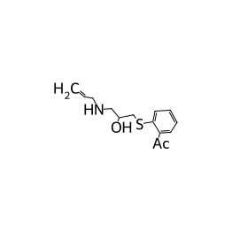 C=CCNCC(O)CSc1ccccc1C(C)=O